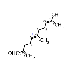 C=C(C=O)CC/C=C(\C)CCC=C(C)C